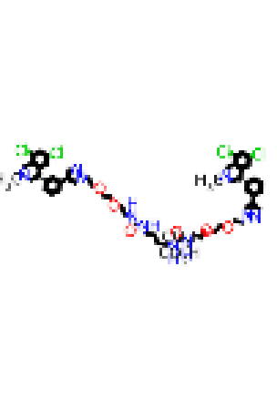 CN1Cc2c(Cl)cc(Cl)cc2[C@H](c2cccc(-c3cnn(CCOCCOCCNC(=O)NCCCC(NC(=O)NCCOCCOCCn4cc(-c5cccc([C@@H]6CN(C)Cc7c(Cl)cc(Cl)cc76)c5)cn4)(C(=O)O)C(=O)O)c3)c2)C1